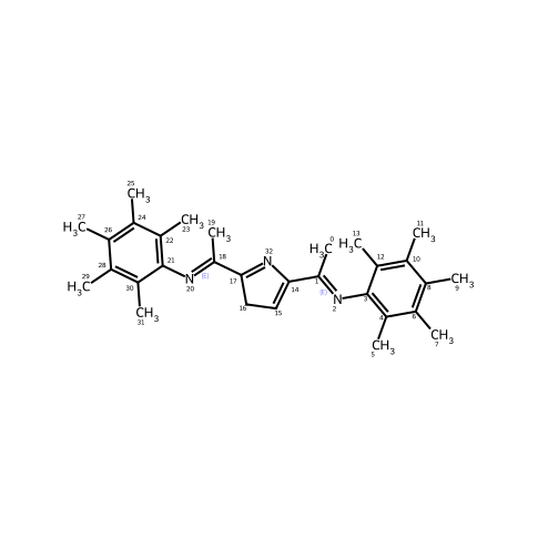 C/C(=N\c1c(C)c(C)c(C)c(C)c1C)C1=CCC(/C(C)=N/c2c(C)c(C)c(C)c(C)c2C)=N1